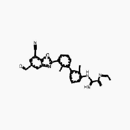 C=C(/N=C\C)C(=N)Nc1cccc(-c2cccc(-c3nc4cc(C=O)cc(C#N)c4o3)c2C)c1C